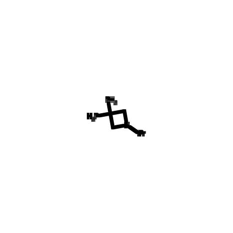 CC(C)N1CC(P)(P)C1